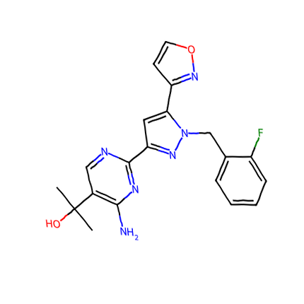 CC(C)(O)c1cnc(-c2cc(-c3ccon3)n(Cc3ccccc3F)n2)nc1N